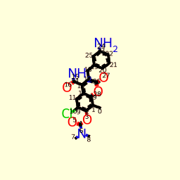 Cc1c(OC(=O)N(C)C)c(Cl)cc2c(C(N)=O)c(Cc3cccc(N)c3)c(=O)oc12